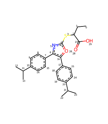 CCC(Sc1nc(-c2ccc(C(C)C)cc2)c(-c2ccc(C(C)C)cc2)o1)C(=O)O